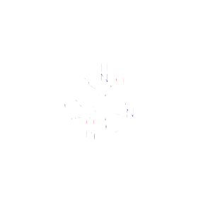 Cn1cc(C2=C(c3coc4ccccc34)C(=O)NC2=O)c2cc(Br)ccc21